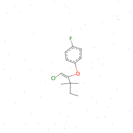 CCC(C)(C)C(=CCl)Oc1ccc(F)cc1